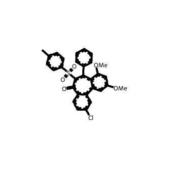 COc1cc(OC)c2c(-c3ccccc3)c(S(=O)(=O)c3ccc(C)cc3)c(=O)c3ccc(Cl)cc3c2c1